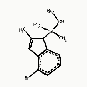 CC1=Cc2c(Br)cccc2C1[Si](C)(C)NC(C)(C)C